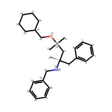 C[C@@](Cc1ccccc1)(C[Si](C)(C)OCC1CCCCC1)NCc1ccccc1